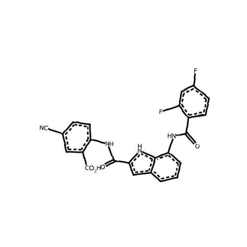 N#Cc1ccc(NC(=O)c2cc3cccc(NC(=O)c4ccc(F)cc4F)c3[nH]2)c(C(=O)O)c1